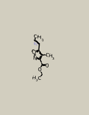 C/C=C/c1onc(C(=O)OCC)c1C